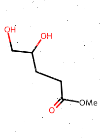 COC(=O)CCC(O)CO